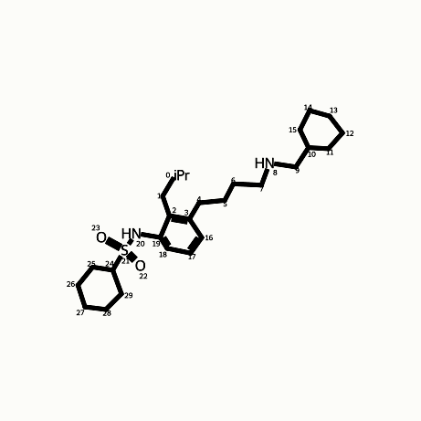 CC(C)Cc1c(CCCCNCC2CCCCC2)cccc1NS(=O)(=O)C1CCCCC1